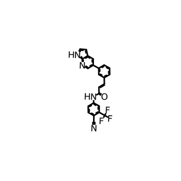 N#Cc1ccc(NC(=O)C=Cc2cccc(-c3cnc4[nH]ccc4c3)c2)cc1C(F)(F)F